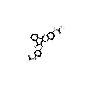 CC(=O)Nc1ccc(OC2=C(Oc3ccc(NC(C)=O)cc3)C(=O)c3ccccc3C2=O)cc1